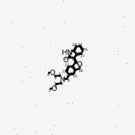 COCCN(CCOC)Cc1ccc2c(c1)COC2=C1C(=O)Nc2ccccc21